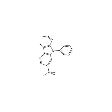 C/C=C\c1c(C)c2ccc(C(C)=O)cc2n1-c1ccccc1